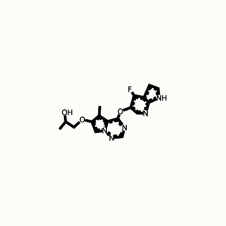 Cc1c(OCC(C)O)cn2ncnc(Oc3cnc4[nH]ccc4c3F)c12